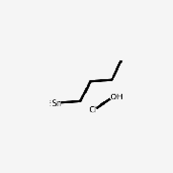 CCC[CH2][Sn].OCl